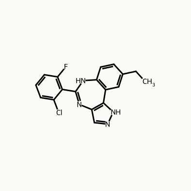 CCc1ccc2c(c1)-c1[nH]ncc1N=C(c1c(F)cccc1Cl)N2